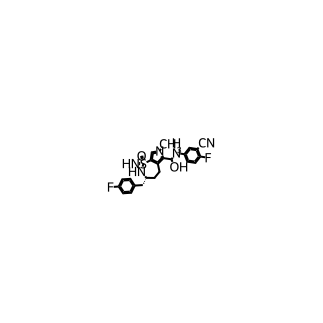 Cn1cc2c(c1C(O)Nc1ccc(F)c(C#N)c1)CC[C@H](Cc1ccc(F)cc1)NS2(=N)=O